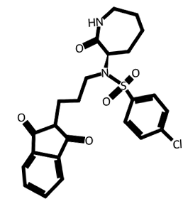 O=C1c2ccccc2C(=O)C1CCCN([C@@H]1CCCCNC1=O)S(=O)(=O)c1ccc(Cl)cc1